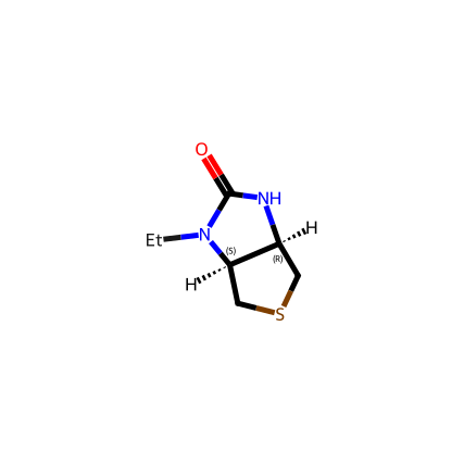 CCN1C(=O)N[C@H]2CSC[C@H]21